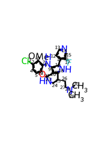 COc1c(Cl)cccc1Nc1c(-c2ccncc2F)[nH]c2c1C(=O)NC[C@@H]2CCN(C)C